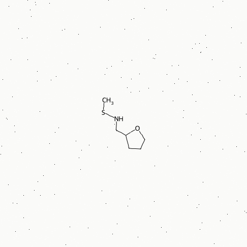 CSNCC1CCCO1